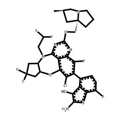 C[C@H]1CN2CCC[C@@]2(COc2nc3c4c(c(Cl)c(-c5ccc(F)c6sc(N)c(C#N)c56)c(F)c4n2)OC2CC(F)(F)CC2N3CC(F)F)C1